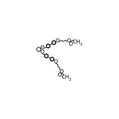 C=CC(=O)OCCCCCOc1ccc(-c2ccc(CO[C@@H]3CCCC[C@H]3OCc3ccc(-c4ccc(OCCCCCOC(=O)C=C)cc4)cc3)cc2)cc1